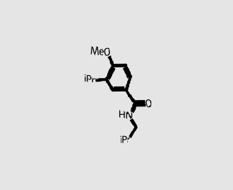 COc1ccc(C(=O)NCC(C)C)cc1C(C)C